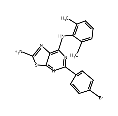 Cc1cccc(C)c1Nc1nc(-c2ccc(Br)cc2)nc2sc(N)nc12